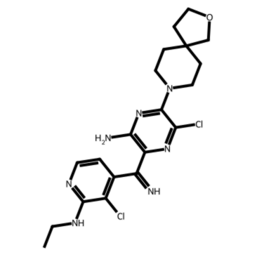 CCNc1nccc(C(=N)c2nc(Cl)c(N3CCC4(CCOC4)CC3)nc2N)c1Cl